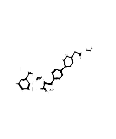 CCOC(=O)CC1CCC(c2ccc(-c3snc(C)c3NC(=O)O[C@H](C)c3ccccc3)cc2)CC1